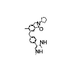 CN/C=C(\C(C)=N)c1ccc(Cc2cc3c(cc2C)CN(C2CCCC2)C3=O)cc1